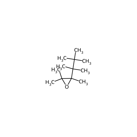 CC(C)(C)C(C)(C)C1(C)OC1(C)C